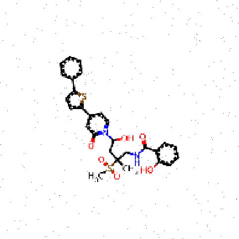 CC(CNC(=O)c1ccccc1O)(CC(O)n1ccc(-c2ccc(-c3ccccc3)s2)cc1=O)S(C)(=O)=O